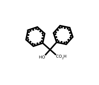 O=C(O)C(O)(c1cc[c]cc1)c1ccccc1